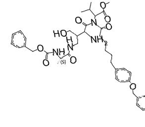 COC(=O)C(C(C)C)N(C(=O)CCCCCc1ccc(OCc2ccccc2)cc1)C(=O)C(N)C(CO)CNC(=O)[C@H](C)NC(=O)OCc1ccccc1